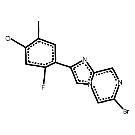 Cc1cc(-c2cn3cc(Br)ncc3n2)c(F)cc1Cl